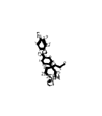 CCCC1(C2CCC(C(=O)Oc3ccc(F)cc3)CC2)CC[SiH](Cl)CC1